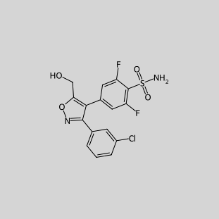 NS(=O)(=O)c1c(F)cc(-c2c(-c3cccc(Cl)c3)noc2CO)cc1F